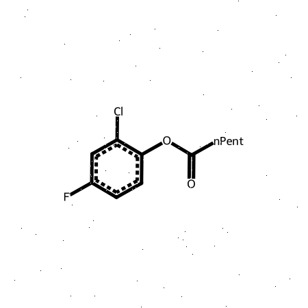 CCCCCC(=O)Oc1ccc(F)cc1Cl